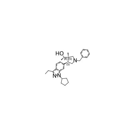 CCc1nn(C2CCCC2)c2cc([C@@H]3CN(Cc4ccccc4)C[C@@]3(C)[C@@H](C)O)ccc12